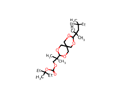 CCC(C)(CC)CC(C)(C)C1OCC2(COC(C(C)(C)COC(=O)OC(C)(CC)CC)OC2)CO1